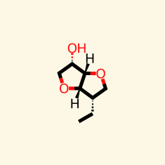 CC[C@H]1CO[C@@H]2[C@H]1OC[C@@H]2O